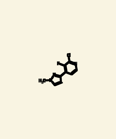 Cn1c[c]c(-c2ccnc(Cl)c2F)n1